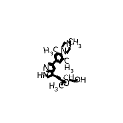 Cc1cc(-c2cnc3[nH]cc(C#CC(C)(C)OCCO)c3c2)cc(C)c1N1CCN(C)CC1